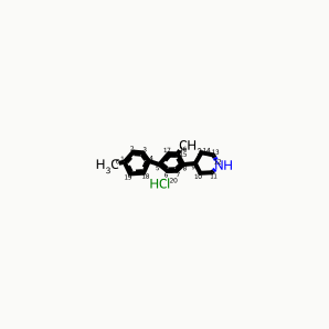 Cc1ccc(-c2ccc(C3CCNCC3)c(C)c2)cc1.Cl